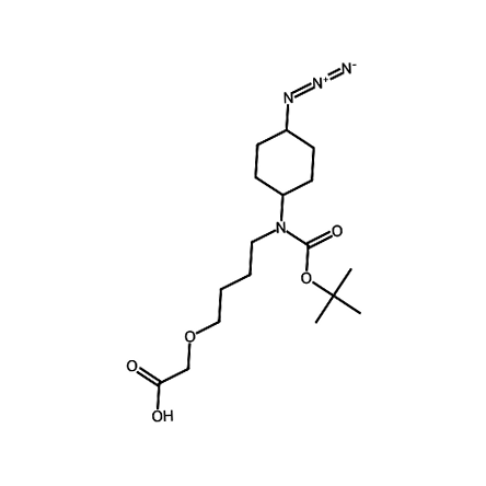 CC(C)(C)OC(=O)N(CCCCOCC(=O)O)C1CCC(N=[N+]=[N-])CC1